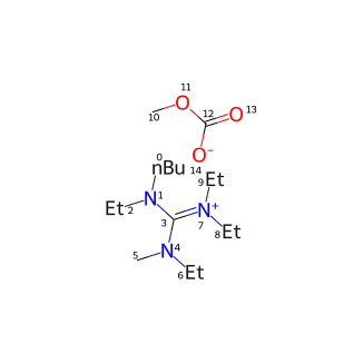 CCCCN(CC)C(N(C)CC)=[N+](CC)CC.COC(=O)[O-]